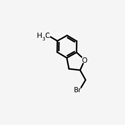 Cc1ccc2c(c1)CC(CBr)O2